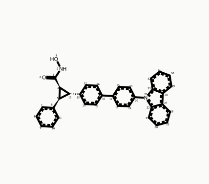 O=C(NO)[C@@H]1[C@H](c2ccccc2)[C@H]1c1ccc(-c2ccc(-n3c4ccccc4c4ccccc43)cc2)cc1